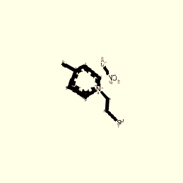 Cc1cc[n+](CCS)cc1.O=[N+]([O-])[O-]